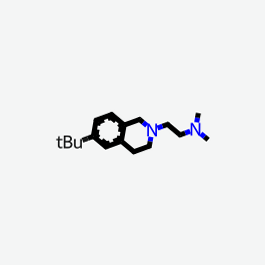 CN(C)CCN1CCc2cc(C(C)(C)C)ccc2C1